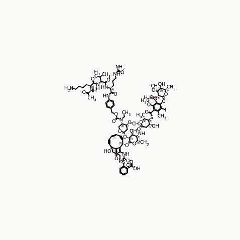 CCN(C(=O)OCc1ccc(NC(=O)[C@H](CCCNC(N)=O)NC(=O)[C@@H](NC(=O)[C@H](CCCCN)NC(C)=O)C(C)C)cc1)[C@H]1CO[C@@H](O[C@H]2[C@H](O[C@H]3C#C/C=C\C#C[C@]4(O)CC(=O)C(NC(=O)OC)=C3/C4=C\CSSc3ccccc3C(=O)O)O[C@H](C)[C@@H](NO[C@H]3C[C@H](O)[C@H](SC(=O)c4c(C)c(I)c(O[C@@H]5O[C@@H](C)[C@H](O)[C@@H](OC)[C@H]5O)c(OC)c4OC)[C@@H](C)O3)[C@@H]2O)C[C@@H]1OC